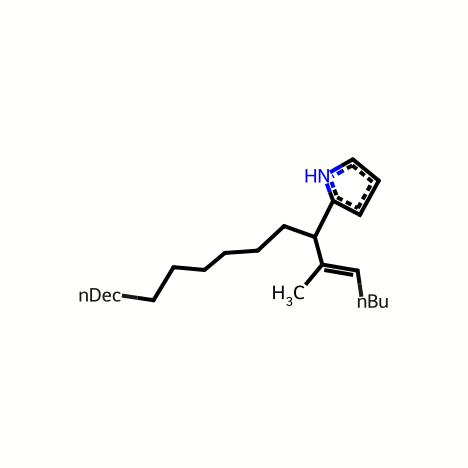 CCCCC=C(C)C(CCCCCCCCCCCCCCCC)c1ccc[nH]1